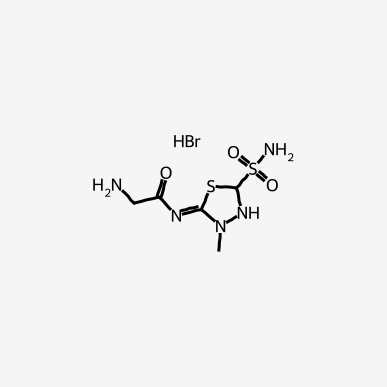 Br.CN1NC(S(N)(=O)=O)SC1=NC(=O)CN